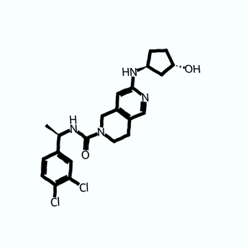 C[C@@H](NC(=O)N1CCc2cnc(N[C@H]3CC[C@H](O)C3)cc2C1)c1ccc(Cl)c(Cl)c1